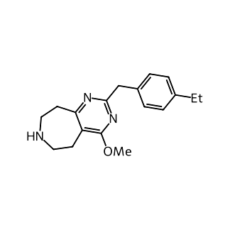 CCc1ccc(Cc2nc3c(c(OC)n2)CCNCC3)cc1